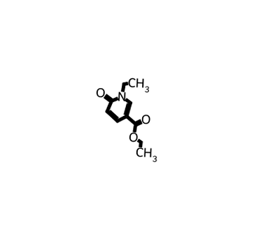 CCOC(=O)c1ccc(=O)n(CC)c1